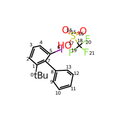 CC(C)(C)c1cccc(I)c1-c1ccccc1.O=S(=O)(O)C(F)(F)F